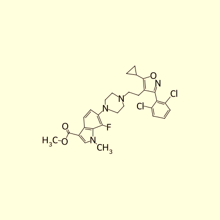 COC(=O)c1cn(C)c2c(F)c(N3CCN(CCc4c(-c5c(Cl)cccc5Cl)noc4C4CC4)CC3)ccc12